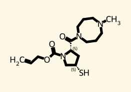 C=CCOC(=O)N1C[C@@H](S)C[C@H]1C(=O)N1CCCN(C)CCC1